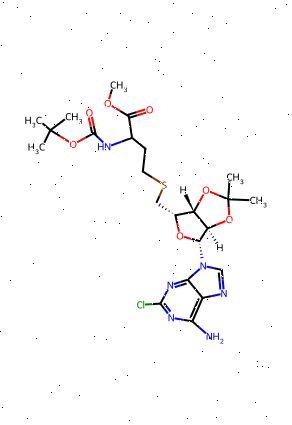 COC(=O)C(CCSC[C@H]1O[C@@H](n2cnc3c(N)nc(Cl)nc32)[C@@H]2OC(C)(C)O[C@H]21)NC(=O)OC(C)(C)C